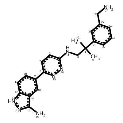 CC(C)(CNc1ccc(-c2ccc3[nH]nc(N)c3c2)nn1)c1cccc(CN)c1